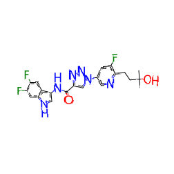 CC(C)(O)CCc1ncc(-n2cc(C(=O)Nc3c[nH]c4cc(F)c(F)cc34)nn2)cc1F